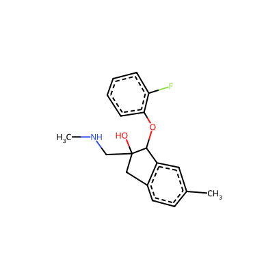 CNCC1(O)Cc2ccc(C)cc2C1Oc1ccccc1F